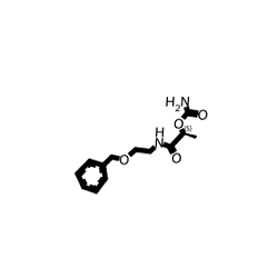 C[C@H](OC(N)=O)C(=O)NCCOCc1ccccc1